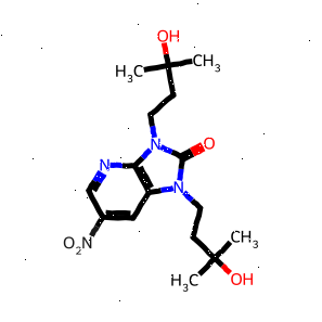 CC(C)(O)CCn1c(=O)n(CCC(C)(C)O)c2ncc([N+](=O)[O-])cc21